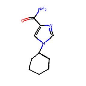 NC(=O)c1cn(C2CCCCC2)cn1